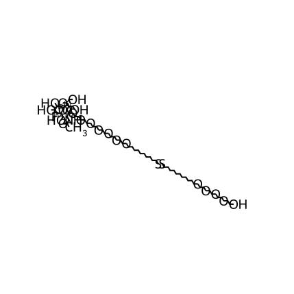 CC(=O)NC[C@H](OCCOCCOCCOCCOCCOCCOCCCCCCCCCCSSCCCCCCCCCCCOCCOCCOCCOCCO)OC(CO)[C@H](CO)O[C@@H]1OC(CO)[C@H](F)C(O)C1O